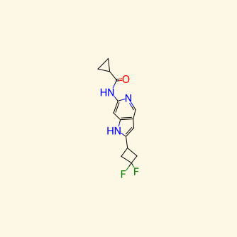 O=C(Nc1cc2[nH]c(C3CC(F)(F)C3)cc2cn1)C1CC1